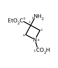 CCOC(=O)C1(N)CN(C(=O)O)C1